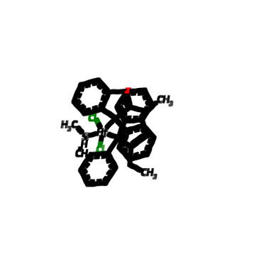 CCC1=Cc2ccccc2[C]1(c1ccccc1)[Hf]([Cl])([Cl])([SiH](C)C)[C]1(c2ccccc2)C(CC)=Cc2ccccc21